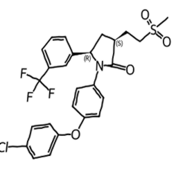 CS(=O)(=O)CC[C@@H]1C[C@H](c2cccc(C(F)(F)F)c2)N(c2ccc(Oc3ccc(Cl)cc3)cc2)C1=O